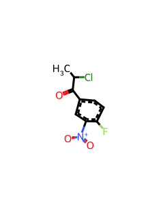 CC(Cl)C(=O)c1ccc(F)c([N+](=O)[O-])c1